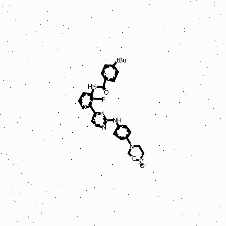 CC(C)(C)c1ccc(C(=O)Nc2cccc(-c3ccnc(Nc4ccc(N5CC[S+]([O-])CC5)cc4)n3)c2F)cc1